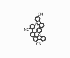 N#CC1=CCC(n2c3ccccc3c3cc(C#N)ccc32)C=C1C1=CCCC=C1c1ccccc1-n1c2ccccc2c2c(C#N)cccc21